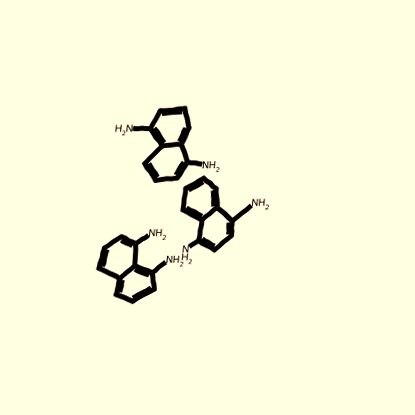 Nc1ccc(N)c2ccccc12.Nc1cccc2c(N)cccc12.Nc1cccc2cccc(N)c12